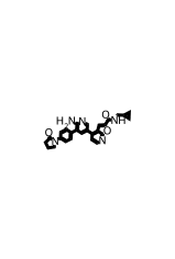 Nc1ncc(-c2ccnc3oc(C(=O)NCC4CC4)cc23)cc1-c1ccc(N2CCCC2=O)cc1